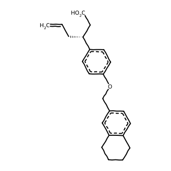 C=CC[C@H](CC(=O)O)c1ccc(OCc2ccc3c(c2)CCCC3)cc1